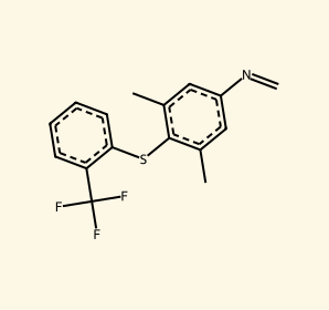 C=Nc1cc(C)c(Sc2ccccc2C(F)(F)F)c(C)c1